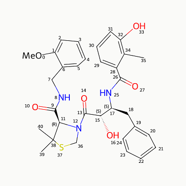 COc1ccccc1CNC(=O)[C@H]1N(C(=O)[C@@H](O)[C@H](Cc2ccccc2)NC(=O)c2cccc(O)c2C)CSC1(C)C